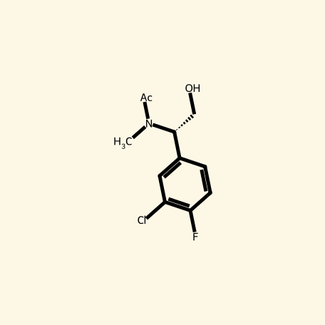 CC(=O)N(C)[C@H](CO)c1ccc(F)c(Cl)c1